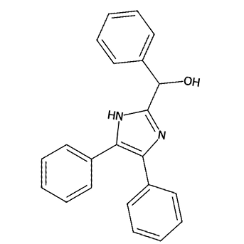 OC(c1ccccc1)c1nc(-c2ccccc2)c(-c2ccccc2)[nH]1